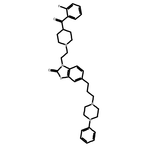 O=C(c1ccccc1F)C1CCN(CCn2c(=O)sc3cc(CCCN4CCN(c5ccccc5)CC4)ccc32)CC1